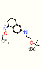 CC(C)(C)[Si](C)(C)OCCNc1ccc2c(c1)CCC/C2=N/OCC(F)(F)F